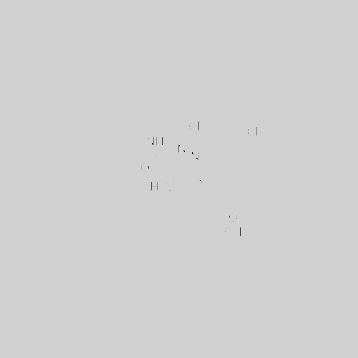 COC1=CCC([C@H]2[C@@H](C)C(C(=O)NC3CCCCCC3)=NN2c2ccc(Cl)cc2Cl)C=C1